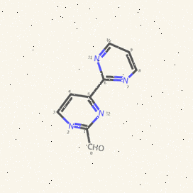 O=Cc1nccc(-c2ncccn2)n1